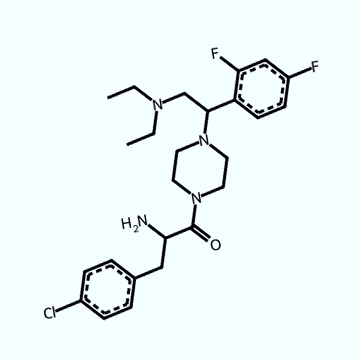 CCN(CC)CC(c1ccc(F)cc1F)N1CCN(C(=O)C(N)Cc2ccc(Cl)cc2)CC1